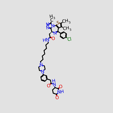 Cc1sc2c(c1C)C(c1ccc(Cl)cc1)=N[C@@H](CC(=O)NCCCCCCCCN1CCN(c3cccc(CC(=O)NC4CCC(=O)NC4=O)c3)CC1)c1nnc(C)n1-2